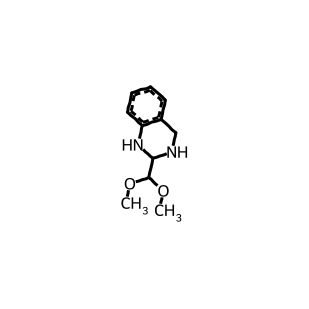 COC(OC)C1NCc2ccccc2N1